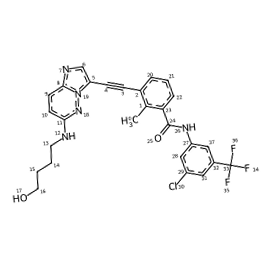 Cc1c(C#Cc2cnc3ccc(NCCCCO)nn23)cccc1C(=O)Nc1cc(Cl)cc(C(F)(F)F)c1